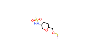 CS(=O)(=O)N[C@@H]1CC[C@@H](COSI)OC1